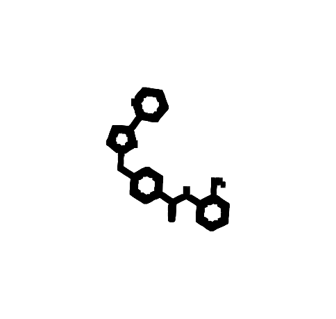 Nc1ccccc1NC(=O)c1ccc(Cn2ccc(-c3ccccn3)n2)cc1